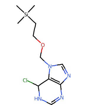 C[Si](C)(C)CCOCn1cnc2c1C(Cl)NC=N2